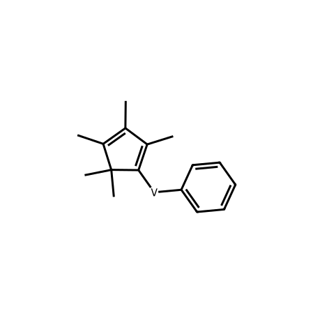 CC1=C(C)C(C)(C)[C]([V][c]2ccccc2)=C1C